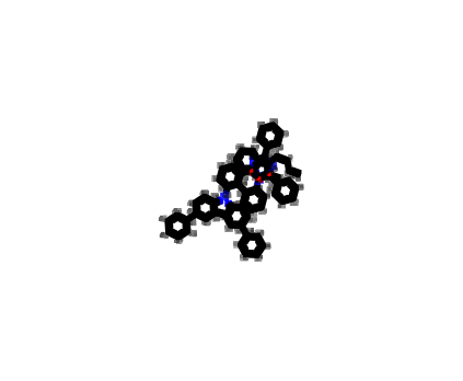 C=C/C=C\c1c(C)n(-c2ccccc2-c2c(-c3cc(-c4ccccc4)nc(-c4ccccc4)n3)cccc2-n2c3ccc(-c4ccccc4)cc3c3cc(-c4ccccc4)ccc32)c2ccccc12